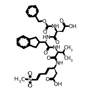 CC(C)[C@H](NC(=O)[C@@H](NC(=O)[C@H](CC(=O)O)NC(=O)OCc1ccccc1)C1Cc2ccccc2C1)C(=O)N[C@H](/C=C/C=C/S(C)(=O)=O)CC(=O)O